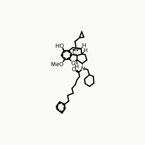 COc1cc(O)c2c3c1O[C@H]1[C@@H](N(CC4CCCCC4)C(=O)CCCCCCCc4ccccc4)CC[C@H]4[C@@H](C2)N(CC2CC2)CC[C@@]341